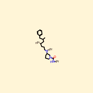 CCCC(CCCN(CCC)C1CCCN(C(=O)NC(C)C)C1)CC(C)Cc1ccccc1